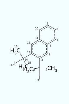 CC(C)(I)c1cc2ccccc2cc1C(C)(C)I